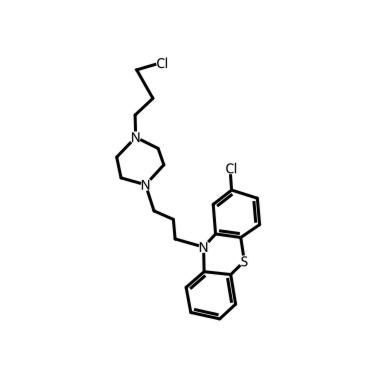 ClCCCN1CCN(CCCN2c3ccccc3Sc3ccc(Cl)cc32)CC1